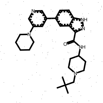 CC(C)(C)CN1CCC(NC(=O)c2n[nH]c3ccc(-c4cncc(N5CCCCC5)c4)cc23)CC1